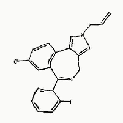 C=CCn1cc2c(c1)-c1ccc(Cl)cc1C(c1ccccc1F)=NC2